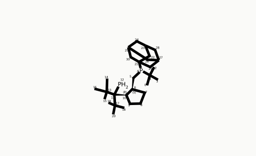 CC(C)(C)P(C[C@H]1CCC[C@H]1C(P)(C(C)(C)C)C(C)(C)C)C12CC3CC(CC(C3)C1)C2